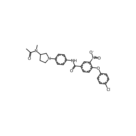 CC(=O)N(C)C1CCN(c2ccc(NC(=O)c3ccc(Oc4ccc(Cl)cc4)c([N+](=O)[O-])c3)cc2)C1